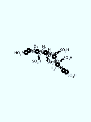 Cc1cc(N=Nc2cc(OCCCS(=O)(=O)O)c(NC(=O)Nc3cc(C)c(N=Nc4cc(C)c(N=Nc5ccc6cc(S(=O)(=O)O)ccc6c5)cc4OCCCS(=O)(=O)O)cc3OCCCS(=O)(=O)O)cc2C)c(OCCCS(=O)(=O)O)cc1N=Nc1ccc2cc(S(=O)(=O)O)ccc2c1